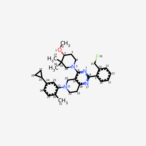 CO[C@H]1CCN(c2nc(-c3ccccc3CF)nc3c2CN(c2cc(C4CC4)ccc2C)CC3)CC1(C)C